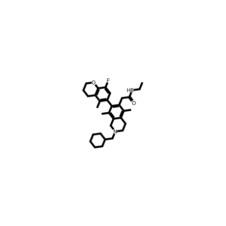 CCBC(=O)Cc1c(C)c2c(c(C)c1-c1cc(F)c3c(c1C)CCCO3)CN(CC1CCCCC1)CC2